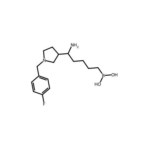 NC(CCCCB(O)O)C1CCN(Cc2ccc(F)cc2)C1